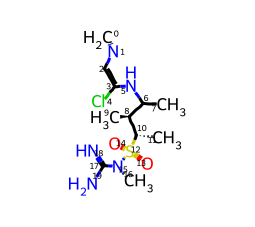 C=N/C=C(/Cl)NC(C)[C@H](C)[C@H](C)S(=O)(=O)N(C)C(=N)N